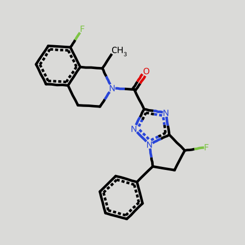 CC1c2c(F)cccc2CCN1C(=O)c1nc2n(n1)C(c1ccccc1)CC2F